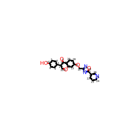 O=c1c(-c2ccc(O)cc2)coc2cc(OCc3noc(-c4cccnc4)n3)ccc12